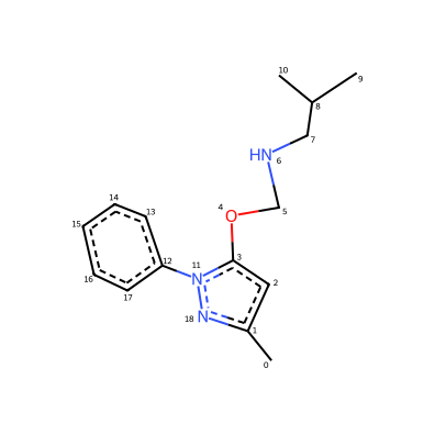 Cc1cc(OCNCC(C)C)n(-c2ccccc2)n1